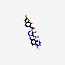 CC[C@H]1C(C=O)N(Cc2ccc3c(N)ncnc3c2)CCN1C(=O)c1ccc2cc(Cl)sc2c1